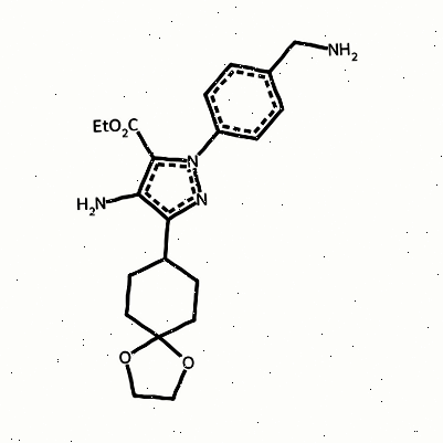 CCOC(=O)c1c(N)c(C2CCC3(CC2)OCCO3)nn1-c1ccc(CN)cc1